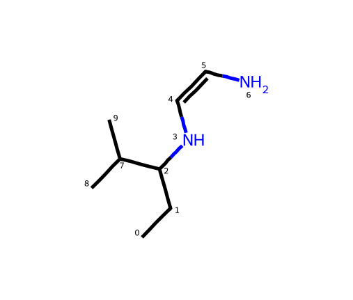 CCC(N/C=C\N)C(C)C